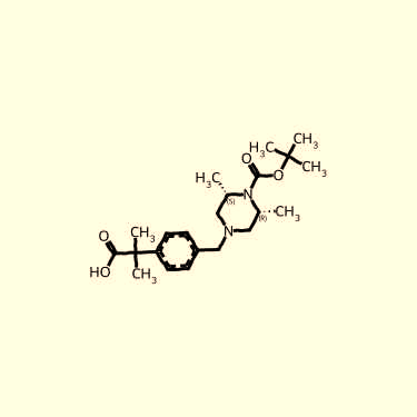 C[C@@H]1CN(Cc2ccc(C(C)(C)C(=O)O)cc2)C[C@H](C)N1C(=O)OC(C)(C)C